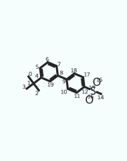 CC(C)(C)c1cccc(-c2ccc(S(C)(=O)=O)cc2)c1